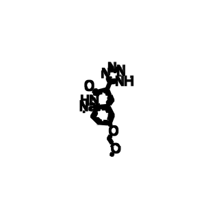 COCOc1ccc2[nH]c(=O)c(-c3nnn[nH]3)cc2c1.[Na]